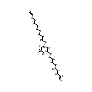 C=CCCCCCCCCC[CH2][Al]([CH2]CCCCCCCCCC=C)[CH2]C(C)C